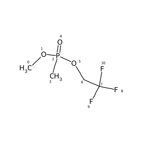 COP(C)(=O)OCC(F)(F)F